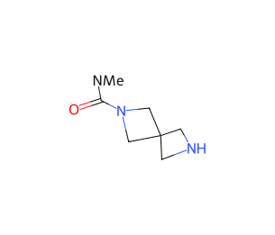 CNC(=O)N1CC2(CNC2)C1